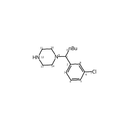 CCCCC(c1cccc(Cl)c1)N1CCNCC1